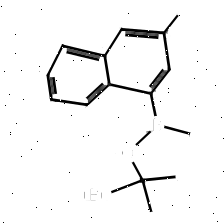 CB(OC(C)(C)C(C)(C)C)c1cc(C)cc2ccccc12